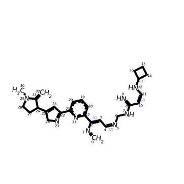 C=N/C(=C\C=N/CNC(=N)/C=C\NC1CCC1)c1cccc(C2=NCC(C3CCN(C)C3=C)=C2)n1